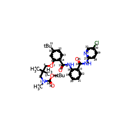 CN(CC(C)(C)COc1cc(C(C)(C)C)ccc1C(=O)Nc1ccccc1C(=O)Nc1ccc(Cl)cn1)C(=O)OC(C)(C)C